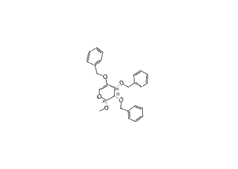 CO[C@@H]1OC=C(OCc2ccccc2)[C@H](OCc2ccccc2)[C@@H]1OCc1ccccc1